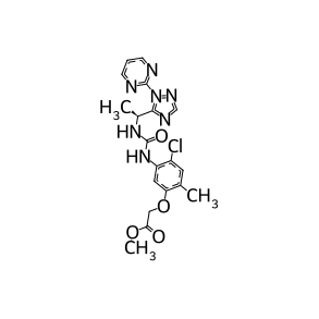 COC(=O)COc1cc(NC(=O)N[C@@H](C)c2ncnn2-c2ncccn2)c(Cl)cc1C